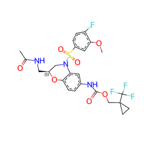 COc1cc(S(=O)(=O)N2C[C@H](CNC(C)=O)Oc3ccc(NC(=O)OCC4(C(F)(F)F)CC4)cc32)ccc1F